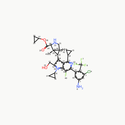 Nc1cc(Cl)c(C(F)(F)F)c(-c2nc(C3CC3)c3c([C@@H]4[C@H]5CN[C@H](C(=O)OC6CC6)[C@H]54)c(CO)n(C4CC4)c3c2F)c1